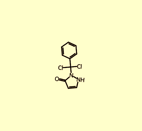 O=c1cc[nH]n1C(Cl)(Cl)c1ccccc1